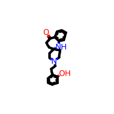 O=C1CCC2(CCN(CCc3ccccc3O)CC2)Nc2ccccc21